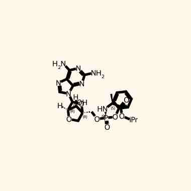 CC(C)OC(=O)[C@H](C)N[P@@](=O)(OC[C@@]12CO[C@@H](C(n3cnc4c(N)nc(N)nc43)O1)[C@@H]2O)Oc1ccccc1